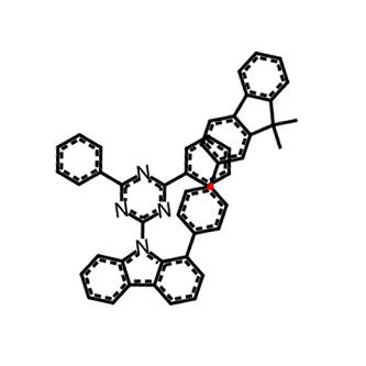 CC1(C)c2ccccc2-c2ccc(-c3ccc(-c4cccc5c6ccccc6n(-c6nc(-c7ccccc7)nc(-c7ccccc7)n6)c45)cc3)cc21